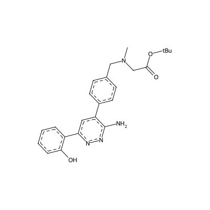 CN(CC(=O)OC(C)(C)C)Cc1ccc(-c2cc(-c3ccccc3O)nnc2N)cc1